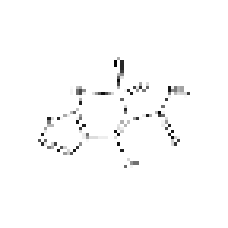 NC(=O)C1=C(O)c2ccsc2NS1(=O)=O